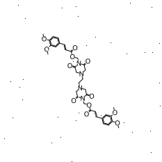 COc1ccc(C=CC(=O)OCN2C(=O)CN(CCN3CC(=O)N(COC(=O)C=Cc4ccc(OC)c(OC)c4)C(=O)C3)CC2=O)cc1OC